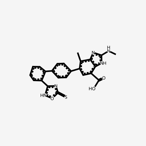 CNc1nc2c(C)c(-c3ccc(-c4ccccc4-c4nc(=S)o[nH]4)cc3)cc(C(=O)O)c2[nH]1